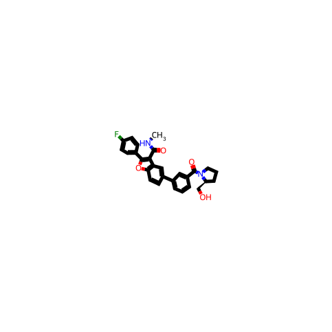 CNC(=O)c1c(-c2ccc(F)cc2)oc2ccc(-c3cccc(C(=O)N4CCC[C@H]4CO)c3)cc12